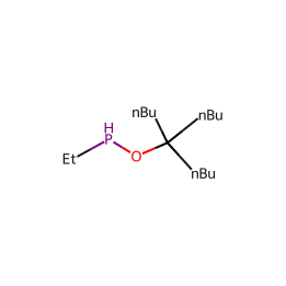 CCCCC(CCCC)(CCCC)OPCC